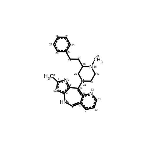 Cc1nc2c(s1)NC=c1cccnc1=C2N1CCN(C)C(CCc2ccccc2)C1